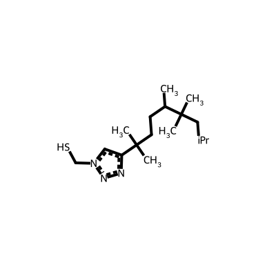 CC(C)CC(C)(C)C(C)CCC(C)(C)c1cn(CS)nn1